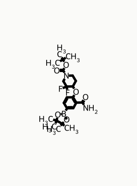 CC(C)(C)OC(=O)N1CCC(Oc2ccc(B3OC(C)(C)C(C)(C)O3)cc2C(N)=O)C(F)(F)C1